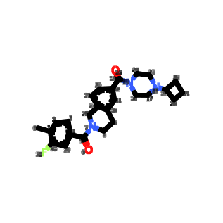 Cc1ccc(C(=O)N2CCc3cc(C(=O)N4CCN(C5CCC5)CC4)ccc3C2)cc1F